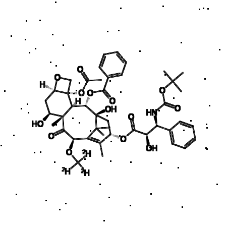 [2H]C([2H])([2H])O[C@H]1C(=O)[C@@]2(C)[C@H]([C@H](OC(=O)c3ccccc3)[C@]3(O)C[C@H](OC(=O)[C@H](O)[C@@H](NC(=O)OC(C)(C)C)c4ccccc4)C(C)=C1C3(C)C)[C@]1(OC(C)=O)CO[C@@H]1C[C@@H]2O